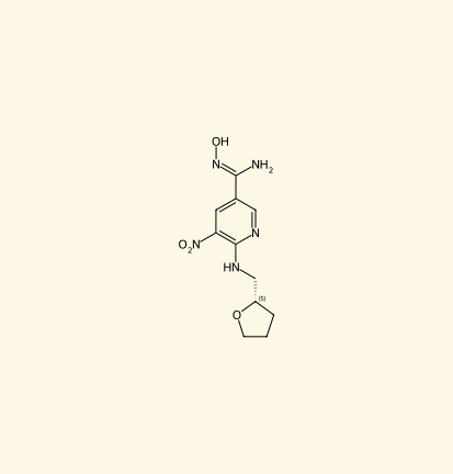 NC(=NO)c1cnc(NC[C@@H]2CCCO2)c([N+](=O)[O-])c1